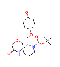 CC(C)(C)OC(=O)N1CCCC2(COCC(=O)N2)C1COC1CCC(=O)CC1